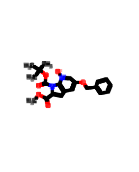 COC(=O)c1cc2cc(OCc3ccccc3)c[n+]([O-])c2n1C(=O)OC(C)(C)C